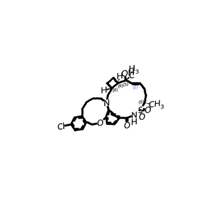 C[C@H]1CC/C=C/[C@@](C)(O)[C@@H]2CC[C@H]2CN2CCCCc3cc(Cl)ccc3COc3ccc(cc32)C(=O)NS1(=O)=O